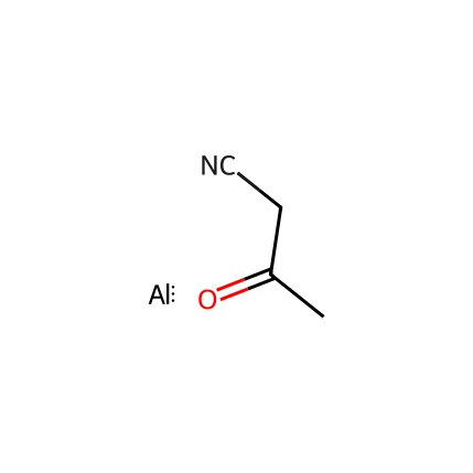 CC(=O)CC#N.[Al]